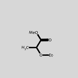 C[CH]OC(C)C(=O)OC